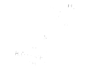 C[C@H]1OCC2(CCN(C(=O)OC(C)(C)C)CC2)C1=O